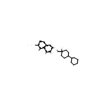 CCCCCc1ccc2cc(OCC3(CCC)CCC(C4CCCCC4)CC3)c(F)c(F)c2c1C(F)(F)F